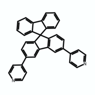 c1ccc2c(c1)-c1ccccc1C21c2ccc(-c3ccncc3)cc2-c2cc(-c3ccncc3)ccc21